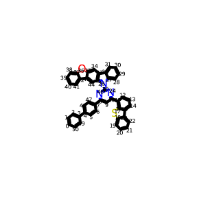 c1ccc(-c2ccc(-c3cc(-c4cccc5c4sc4ccccc45)nc(-n4c5ccccc5c5cc6oc7ccccc7c6cc54)n3)cc2)cc1